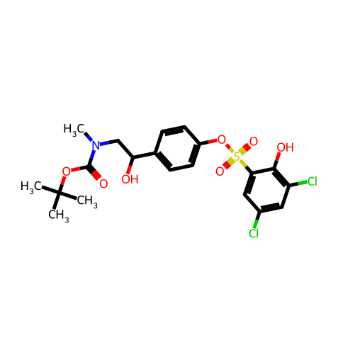 CN(CC(O)c1ccc(OS(=O)(=O)c2cc(Cl)cc(Cl)c2O)cc1)C(=O)OC(C)(C)C